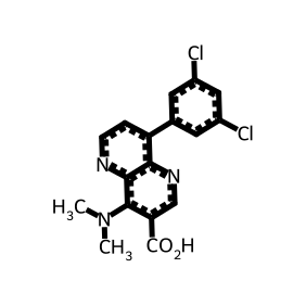 CN(C)c1c(C(=O)O)cnc2c(-c3cc(Cl)cc(Cl)c3)ccnc12